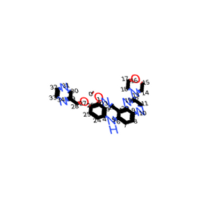 COc1cc(Nc2ccc3ncc(N4CCOCC4)nc3c2C#N)ccc1OCc1cnccn1